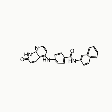 O=C(Nc1ccc2ccccc2c1)c1ccc(Nc2ccnc3[nH]c(=O)ccc23)cc1